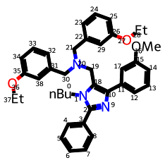 CCCCn1c(-c2ccccc2)nc(-c2cccc(OC)c2)c1CN(Cc1cccc(OCC)c1)Cc1cccc(OCC)c1